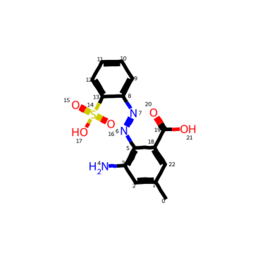 Cc1cc(N)c(N=Nc2ccccc2S(=O)(=O)O)c(C(=O)O)c1